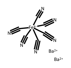 N#[C][Fe-4]([C]#N)([C]#N)([C]#N)([C]#N)[C]#N.[Ba+2].[Ba+2]